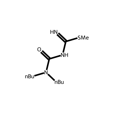 CCCCN(CCCC)C(=O)NC(=N)SC